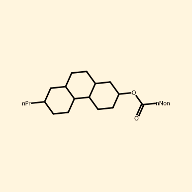 CCCCCCCCCC(=O)OC1CCC2C(CCC3CC(CCC)CCC32)C1